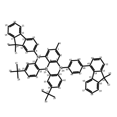 Cc1cc2c3c(c1)N(c1ccc4c(c1)C(C)(C)c1ccccc1-4)c1cc(C(C)(C)C)ccc1B3c1cc(C(C)(C)C)ccc1N2c1ccc(-c2cccc3c2-c2ccccc2C3(C)C)cc1